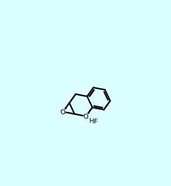 F.c1ccc2c(c1)CC1OC1O2